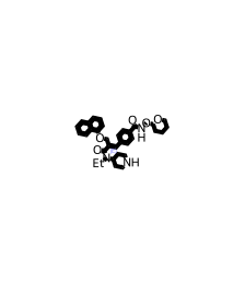 CCN(C(=O)/C(=C/c1ccc(C(=O)NOC2CCCCO2)cc1)COc1cccc2ccccc12)C1CCNCC1